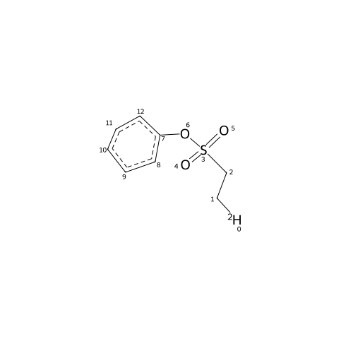 [2H]CCS(=O)(=O)Oc1ccccc1